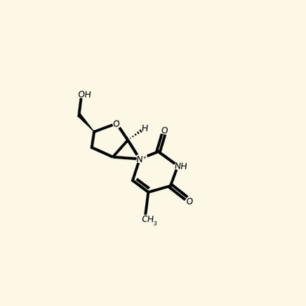 CC1=C[N+]2(C(=O)NC1=O)C1C[C@@H](CO)O[C@H]12